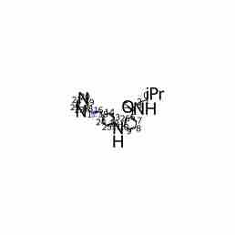 CC(C)CCNC(=O)c1cccc(Nc2ccc(/C=C/c3cnccn3)cc2)c1